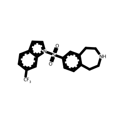 O=S(=O)(c1ccc2c(c1)CCNCC2)n1ccc2ccc(C(F)(F)F)cc21